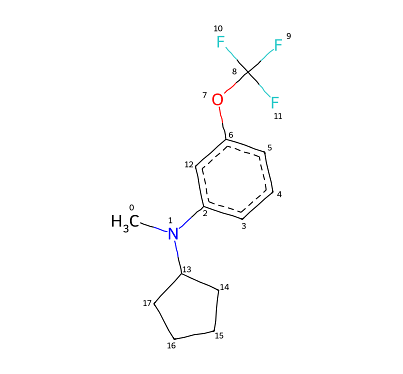 CN(c1cccc(OC(F)(F)F)c1)C1CCCC1